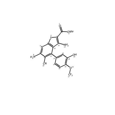 COC(=O)c1sc2nc(N)c(C#N)c(-c3ccc(OC(F)(F)F)c(O)c3)c2c1N